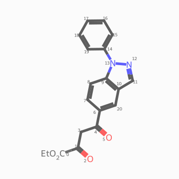 CCOC(=O)C(=O)CC(=O)c1ccc2c(cnn2-c2ccccc2)c1